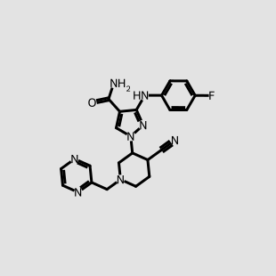 N#CC1CCN(Cc2cnccn2)CC1n1cc(C(N)=O)c(Nc2ccc(F)cc2)n1